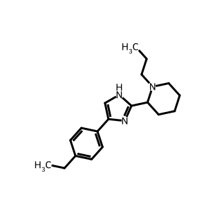 CCCN1CCCCC1c1nc(-c2ccc(CC)cc2)c[nH]1